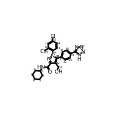 O=C(NC1CCCCC1)c1nn(-c2ccc(Cl)cc2Cl)c(-c2ccc(-c3nnn[nH]3)cc2)c1CO